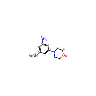 CC(=O)Nc1cc(N)cc(N2CCOCC2)c1